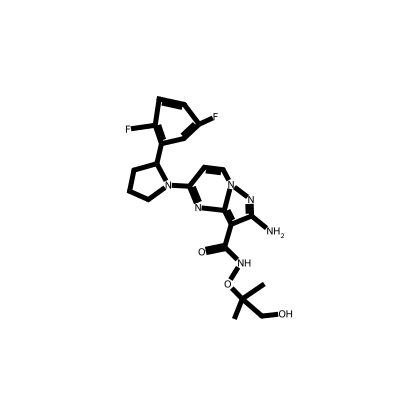 CC(C)(CO)ONC(=O)c1c(N)nn2ccc(N3CCCC3c3cc(F)ccc3F)nc12